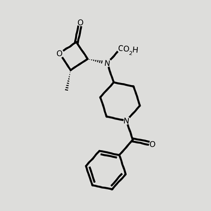 C[C@@H]1OC(=O)[C@@H]1N(C(=O)O)C1CCN(C(=O)c2ccccc2)CC1